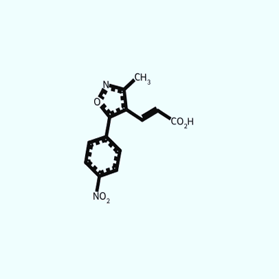 Cc1noc(-c2ccc([N+](=O)[O-])cc2)c1C=CC(=O)O